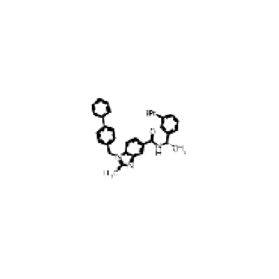 Cc1nc2cc(C(=O)N[C@@H](C)c3cccc(C(C)C)c3)ccc2n1Cc1ccc(-c2ccccc2)cc1